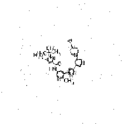 CCc1cc(C(=O)Nc2cnc(C)c(-n3cc(-c4cncc(N5CCN(C6CC6)CC5)c4)nn3)c2)nn1C(C)(C)C